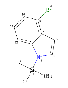 CC(C)(C)[Si](C)(C)n1ccc2c(Br)cccc21